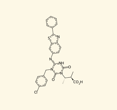 C[C@@H](C(=O)O)[C@H](C)n1c(=O)[nH]/c(=N\c2ccc3nc(-c4ccccc4)sc3c2)n(Cc2ccc(Cl)cc2)c1=O